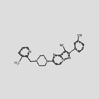 Cc1cccnc1CN1CCN(c2ccn3nc(-c4cccc(C#N)c4)c(C#N)c3n2)CC1